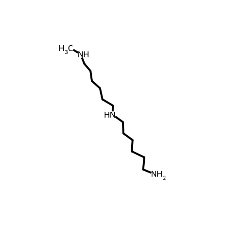 CNCCCCCCNCCCCCCN